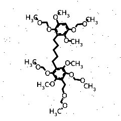 COCOCCc1c(OC)c(OCOC)c(CCCCCc2c(OC)c(OCOC)cc(OC)c2OCOC)c(OC)c1OCOC